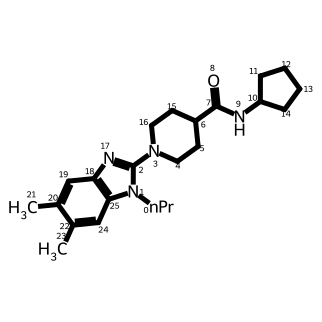 CCCn1c(N2CCC(C(=O)NC3CCCC3)CC2)nc2cc(C)c(C)cc21